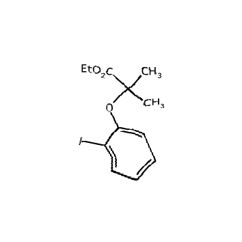 CCOC(=O)C(C)(C)Oc1ccccc1I